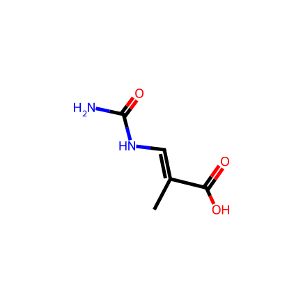 C/C(=C\NC(N)=O)C(=O)O